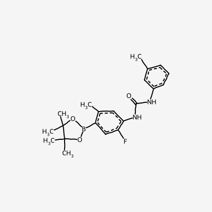 Cc1cccc(NC(=O)Nc2cc(C)c(B3OC(C)(C)C(C)(C)O3)cc2F)c1